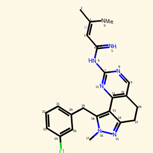 CN/C(C)=C\C(=N)Nc1ncc2c(n1)-c1c(nn(C)c1Cc1cccc(Cl)c1)CC2